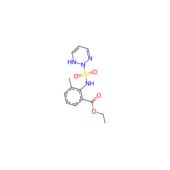 CCOC(=O)c1cccc(C)c1NS(=O)(=O)N1N=CC=CN1